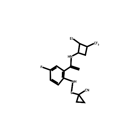 C=C(NC1CC(C(F)(F)F)C1CC)c1cc(F)ccc1NSC1(C#N)CC1